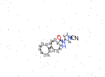 N#CN1CC[C@@H](NC(=O)C2CCCCC(C3CCCCCCCC3)CCC2)C1